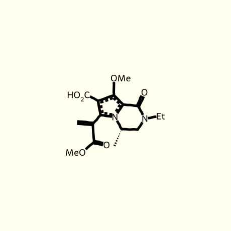 C=C(C(=O)OC)c1c(C(=O)O)c(OC)c2n1[C@@H](C)CN(CC)C2=O